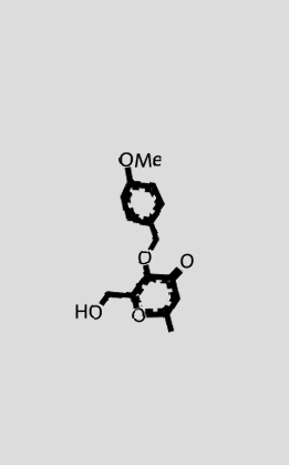 COc1ccc(COc2c(CO)oc(C)cc2=O)cc1